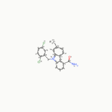 NC(=O)c1cccc2c1c1[c]cc(C(F)(F)F)cc1n2Cc1cc(Cl)ccc1Cl